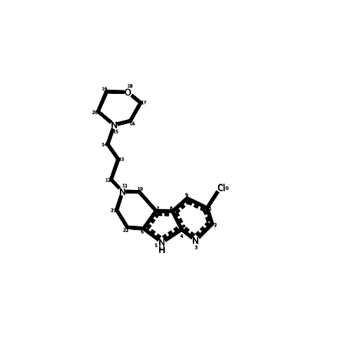 Clc1cnc2[nH]c3c(c2c1)CN(CCCN1CCOCC1)CC3